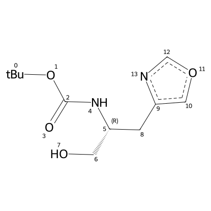 CC(C)(C)OC(=O)N[C@@H](CO)Cc1cocn1